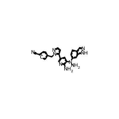 N#Cc1ccc(Cn2nccc2-c2cnc(N)c(N(N)c3ccc4cn[nH]c4c3)c2)cc1